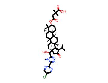 CC(C)C1=C2[C@H]3CC[C@@H]4[C@@]5(C)CC[C@H](OC(=O)CC(C)(C)C(=O)O)C(C)(C)[C@@H]5CC[C@@]4(C)[C@]3(C)CC[C@@]2([C@H](O)c2nnc(-c3ncc(Cl)cn3)n2C)CC1=O